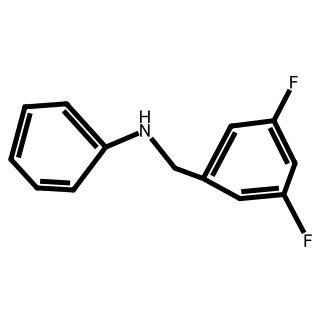 Fc1cc(F)cc(CNc2ccccc2)c1